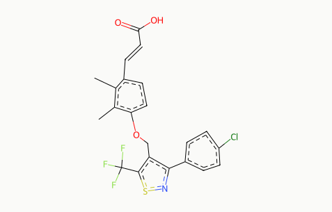 Cc1c(C=CC(=O)O)ccc(OCc2c(-c3ccc(Cl)cc3)nsc2C(F)(F)F)c1C